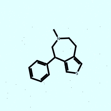 CN1CCc2cscc2C(c2ccccc2)C1